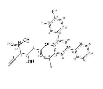 C#CC(C(O)CC(=O)Oc1c(-c2ccc(F)c(C)c2)cc(-c2ccccc2)nc1C(C)C)[PH](=O)O